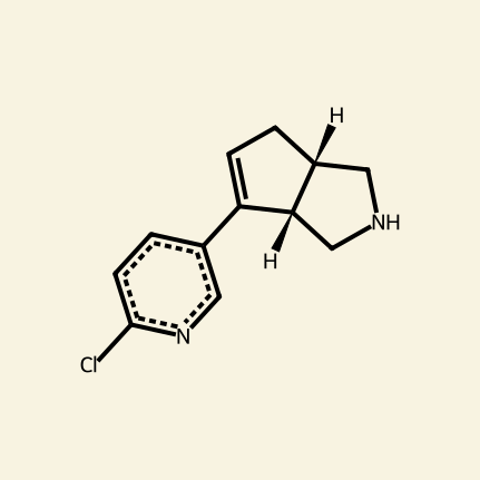 Clc1ccc(C2=CC[C@@H]3CNC[C@H]23)cn1